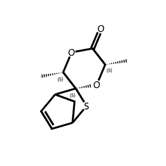 C[C@@H]1O[C@@]2(SC3C=CC2C3)[C@H](C)OC1=O